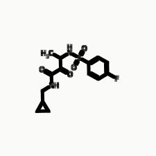 CC(NS(=O)(=O)c1ccc(F)cc1)C(=O)C(=O)NCC1CC1